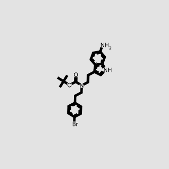 CC(C)(C)OC(=O)N(CCc1ccc(Br)cc1)CCc1c[nH]c2cc(N)ccc12